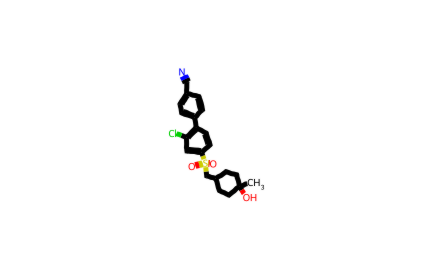 CC1(O)CCC(CS(=O)(=O)c2ccc(-c3ccc(C#N)cc3)c(Cl)c2)CC1